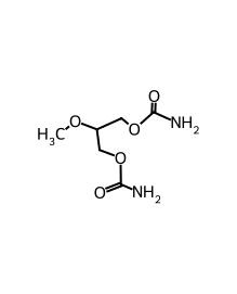 COC(COC(N)=O)COC(N)=O